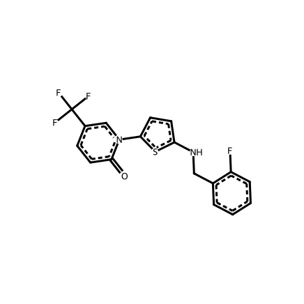 O=c1ccc(C(F)(F)F)cn1-c1ccc(NCc2ccccc2F)s1